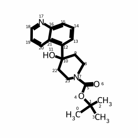 CC(C)(C)OC(=O)N1CCC(O)(c2cccc3ncccc23)CC1